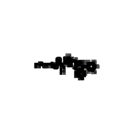 CCCCCOC(=O)Nc1nc(CO/N=C(/c2ccccc2)c2nnnn2C)cs1